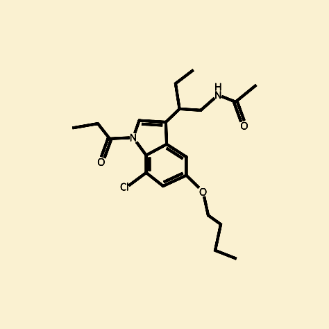 CCCCOc1cc(Cl)c2c(c1)c(C(CC)CNC(C)=O)cn2C(=O)CC